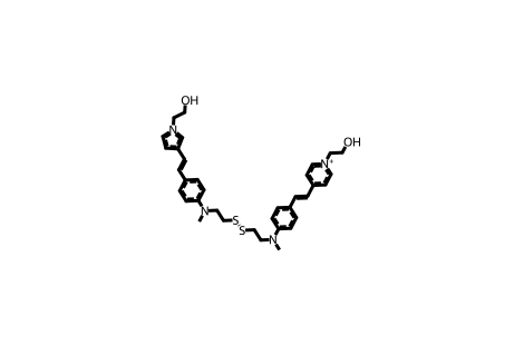 CN(CCSSCCN(C)c1ccc(/C=C/c2ccn(CCO)c2)cc1)c1ccc(/C=C/c2cc[n+](CCO)cc2)cc1